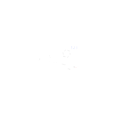 CC(=O)OC1(C(C)=O)CCC2C3CCC4=CC(=O)CCC4=C3C(c3ccc(N)cc3)C[C@@]21C